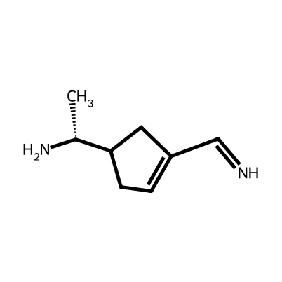 C[C@@H](N)C1CC=C(C=N)C1